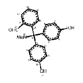 CNC(c1ccc(O)cc1)(c1ccc(O)cc1)c1ccccc1C=O